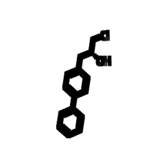 O[C@@H](CCl)Cc1ccc(-c2ccccc2)cc1